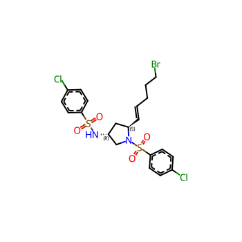 O=S(=O)(N[C@@H]1C[C@@H](C=CCCCBr)N(S(=O)(=O)c2ccc(Cl)cc2)C1)c1ccc(Cl)cc1